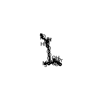 Cc1ncsc1-c1ccc(CNC(=O)[C@@H]2C[C@@H](O)CN2C(=O)C(C(C)C)N2Cc3ccccc3C2=O)c(OCCOCCOCCOCCOc2ccc(Nc3ncc(Br)c(NCCCN(C)C(=O)C4CCC4)n3)cc2)c1